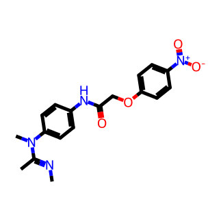 CN=C(C)N(C)c1ccc(NC(=O)COc2ccc([N+](=O)[O-])cc2)cc1